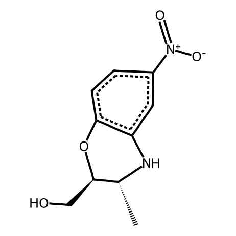 C[C@H]1Nc2cc([N+](=O)[O-])ccc2O[C@@H]1CO